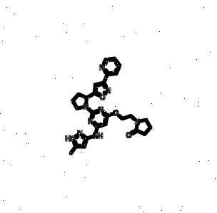 Cc1cc(Nc2cc(OCCN3CCCC3=O)nc(N3CCCC3c3cc(-c4ccccn4)no3)n2)n[nH]1